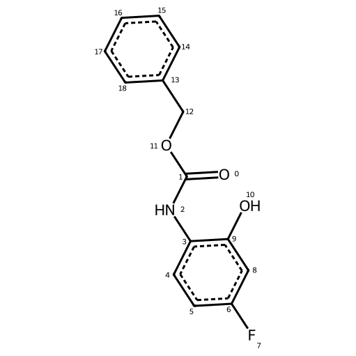 O=C(Nc1ccc(F)cc1O)OCc1ccccc1